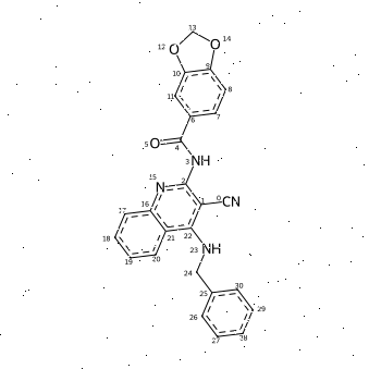 N#Cc1c(NC(=O)c2ccc3c(c2)OCO3)nc2ccccc2c1NCc1ccccc1